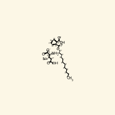 CCCCCCCCCCCCOC(=O)c1ccccc1C(=O)O.N[C@@H](CCC(=O)O)C(=O)[O-].[Na+]